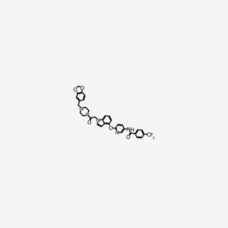 O=C(Nc1ccc(Oc2cccc3c2ccn3CC(=O)N2CCN(Cc3ccc4c(c3)OCO4)CC2)nc1)c1ccc(C(F)(F)F)cc1